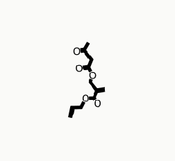 C=CCOC(=O)C(=C)COC(=O)CC(C)=O